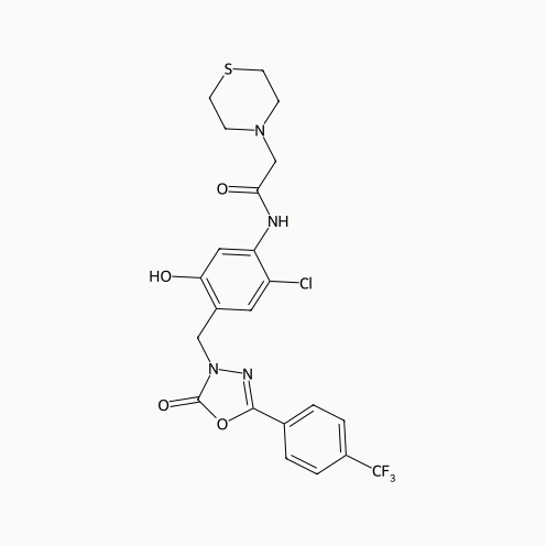 O=C(CN1CCSCC1)Nc1cc(O)c(Cn2nc(-c3ccc(C(F)(F)F)cc3)oc2=O)cc1Cl